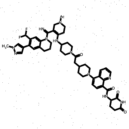 CC(=O)N1CCC(NC2CCN(C(=O)CC3CCN(c4ccc(C(=O)NC5CCC(=O)NC5=O)c5ncccc45)CC3)CC2)=C(C(=N)N2CCCc3cc(-c4cnn(C)c4)c(C(F)F)cc32)C1